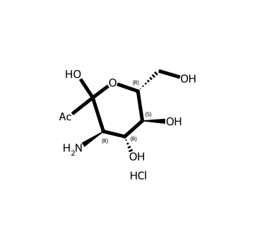 CC(=O)C1(O)O[C@H](CO)[C@@H](O)[C@H](O)[C@H]1N.Cl